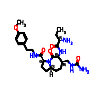 CC[C@H](N)C(=O)N[C@@H]1C(=O)N2[C@@H](CC[C@@H]1CNC(N)=O)CC[C@H]2C(=O)NCCc1ccc(OC)cc1